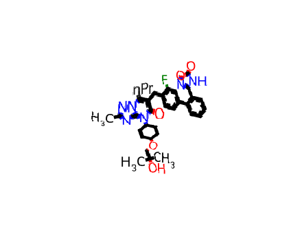 CCCc1c(Cc2ccc(-c3ccccc3-c3noc(=O)[nH]3)cc2F)c(=O)n(C2CCC(OCC(C)(C)O)CC2)c2nc(C)nn12